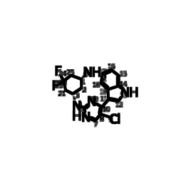 N[C@@H]1C[C@H](Nc2ncc(Cl)c(-c3c[nH]c4ccccc34)n2)CC(F)(F)C1